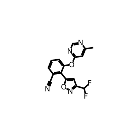 Cc1cc(Oc2cccc(C#N)c2-c2cc(C(F)F)no2)ncn1